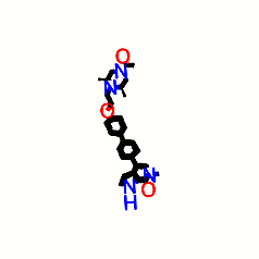 CC(=O)N1C[C@@H](C)N(CCOc2ccc(-c3ccc(-c4cn(C)c(=O)c5[nH]ccc45)cc3)cc2)[C@@H](C)C1